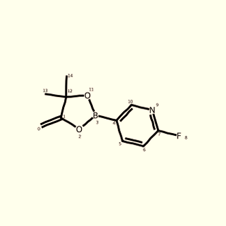 C=C1OB(c2ccc(F)nc2)OC1(C)C